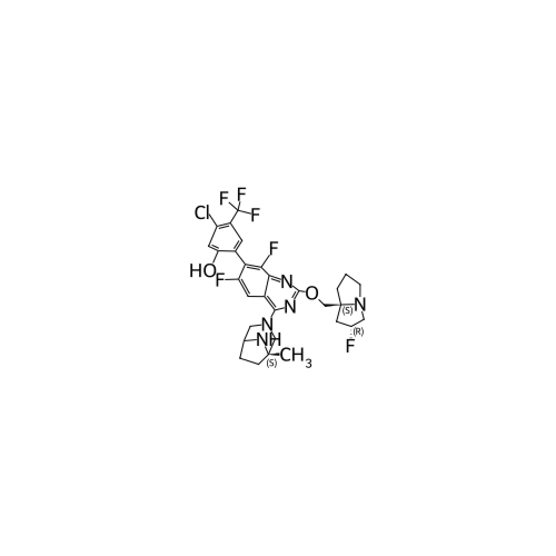 C[C@]12CCC(CN(c3nc(OC[C@@]45CCCN4C[C@H](F)C5)nc4c(F)c(-c5cc(C(F)(F)F)c(Cl)cc5O)c(F)cc34)C1)N2